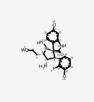 CCCN1[C@@H](CCO)[C@@H](N)[C@H](c2cccc(Cl)c2F)[C@]12C(=O)Nc1cc(Cl)ccc12